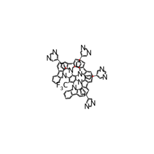 FC(F)(F)c1c(-n2c3ccccc3c3ccccc32)c(-n2c3ccc(-c4cncnc4)cc3c3cc(-c4cncnc4)ccc32)c(-n2c3ccccc3c3ccccc32)c(-n2c3ccc(-c4cncnc4)cc3c3cc(-c4cncnc4)ccc32)c1-n1c2ccccc2c2ccccc21